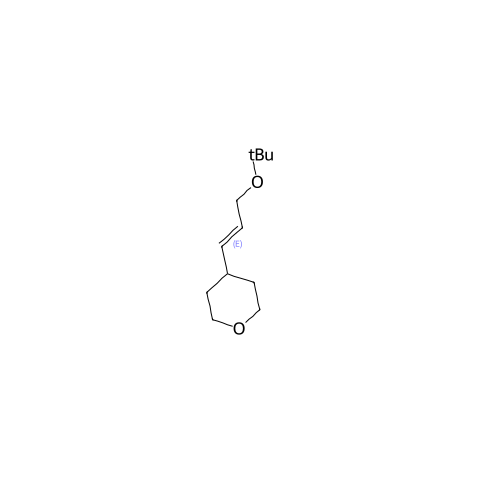 CC(C)(C)OC/C=C/C1CCOCC1